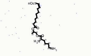 CCCCCCCC/C=C\CCCCCCCC(=O)OC(C)COC(=O)[C@@H](N)CCCCN